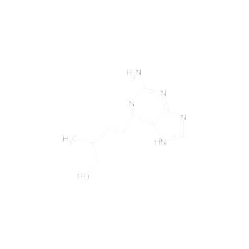 CC(=CCc1nc(N)nc2nc[nH]c12)CO